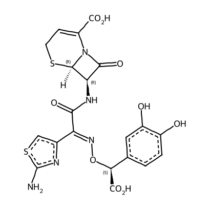 Nc1nc(C(=NO[C@H](C(=O)O)c2ccc(O)c(O)c2)C(=O)N[C@@H]2C(=O)N3C(C(=O)O)=CCS[C@H]23)cs1